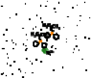 CC(C)=CCP(C1CCCCC1)C1CCCCC1.CC(C)=CCP(C1CCCCC1)C1CCCCC1.[Cl-].[Cl-].[Ni+2]